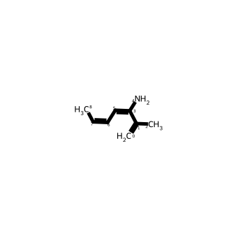 C=C(C)/C(N)=C\C=C/C